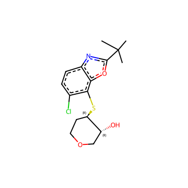 CC(C)(C)c1nc2ccc(Cl)c(S[C@@H]3CCOC[C@H]3O)c2o1